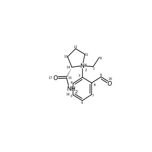 CC[N+]1(c2ccccc2C=O)CCC[C@H]1C(N)=O